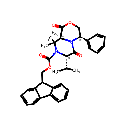 CC(C)[C@H]1C(=O)N2[C@H](c3ccccc3)COC(=O)[C@@H]2C(C)(C)N1C(=O)OCC1c2ccccc2-c2ccccc21